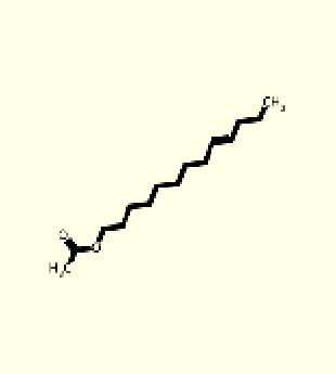 CCCC=CCCCCCCCCOC(C)=O